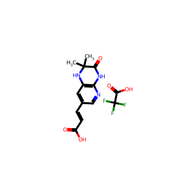 CC1(C)Nc2cc(/C=C/C(=O)O)cnc2NC1=O.O=C(O)C(F)(F)F